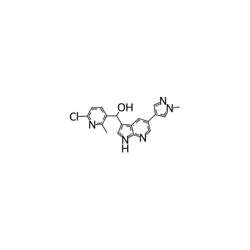 Cc1nc(Cl)ccc1C(O)c1c[nH]c2ncc(-c3cnn(C)c3)cc12